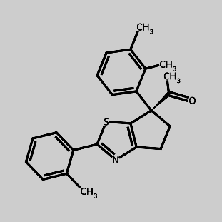 CC(=O)[C@@]1(c2cccc(C)c2C)CCc2nc(-c3ccccc3C)sc21